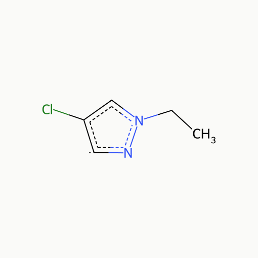 CCn1cc(Cl)[c]n1